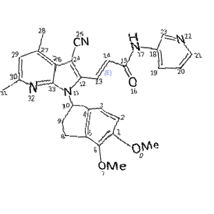 COc1ccc2c(c1OC)CCC2n1c(/C=C/C(=O)Nc2cccnc2)c(C#N)c2c(C)cc(C)nc21